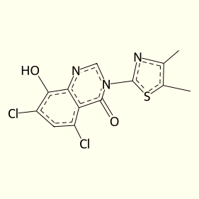 Cc1nc(-n2cnc3c(O)c(Cl)cc(Cl)c3c2=O)sc1C